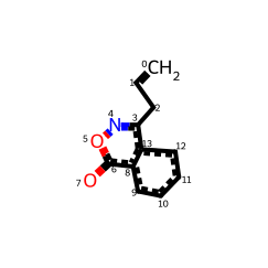 C=CCc1noc(=O)c2ccccc12